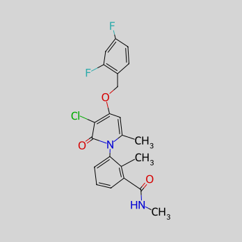 CNC(=O)c1cccc(-n2c(C)cc(OCc3ccc(F)cc3F)c(Cl)c2=O)c1C